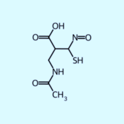 CC(=O)NCC(C(=O)O)C(S)N=O